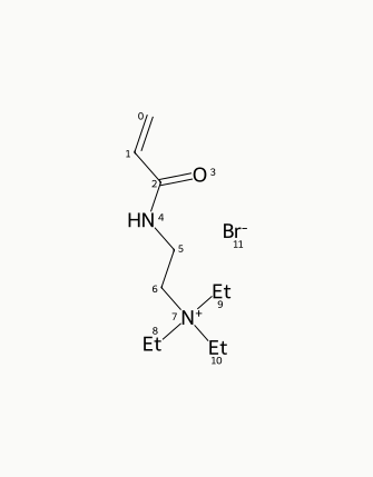 C=CC(=O)NCC[N+](CC)(CC)CC.[Br-]